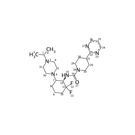 CC(C)N1CCN(C2CCCC(F)(F)[C@@H]2NC(=O)N2CCC(c3ncccn3)CC2)CC1